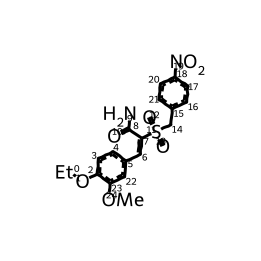 CCOc1ccc(/C=C(\C(N)=O)S(=O)(=O)Cc2ccc([N+](=O)[O-])cc2)cc1OC